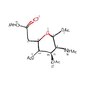 COC(=O)CC1OC(OC(C)=O)C(NC(C)=O)[C@@H](OC(C)=O)C1OC(C)=O